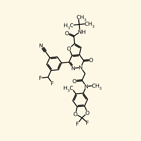 Cc1cc2c(cc1N(C)C(=O)Cn1nc(-c3cc(C#N)cc(C(F)F)c3)c3oc(C(=O)NC(C)(C)C)cc3c1=O)OC(F)(F)O2